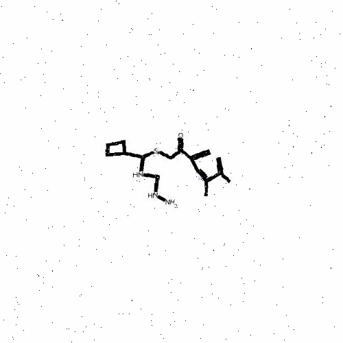 C=C(/C=C(/C)C(=C)C)C(=O)CSC(NCNN)C1CCC1